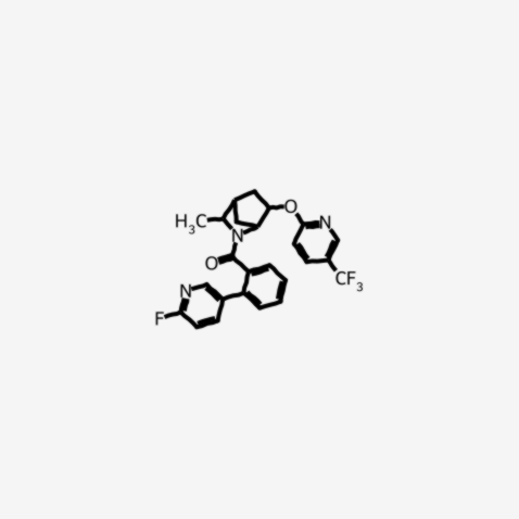 CC1C2CC(Oc3ccc(C(F)(F)F)cn3)C(C2)N1C(=O)c1ccccc1-c1ccc(F)nc1